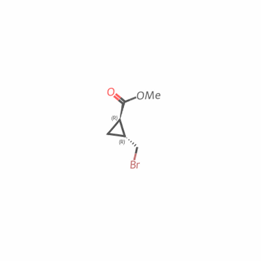 COC(=O)[C@@H]1C[C@H]1CBr